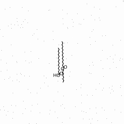 CCCCCCCCCCCCCCCC(=O)O.CCCCCCCCCCCCCCCC(=O)OCCCCCCCC